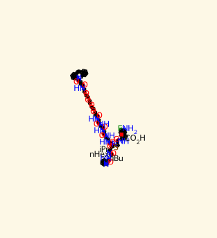 CCCCCCN(C(=O)[C@@H](NC(=O)[C@H]1CCCCN1C)[C@@H](C)CC)[C@H](C[C@@H](OC(=O)NCCNC(=O)CNC(=O)CNC(=O)CNC(=O)CCOCCOCCOCCOCCNC(=O)CCC(=O)N1Cc2ccccc2C#Cc2ccccc21)c1nc(C(=O)N[C@@H](Cc2ccc(N)c(F)c2)CC(C)(C)C(=O)O)cs1)C(C)C